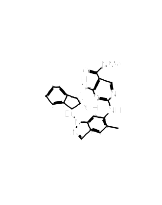 CCn1ncc2cc(C)c(Nc3ncc(C(=O)NC)c(N[C@H]4c5ccccc5C[C@H]4O)n3)cc21